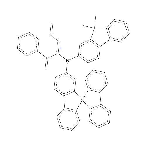 C=C/C=C(\C(=C)c1ccccc1)N(c1ccc2c(c1)C(C)(C)c1ccccc1-2)c1ccc2c(c1)C1(c3ccccc3-c3ccccc31)c1ccccc1-2